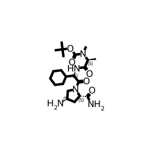 C[C@@H](C(=O)N[C@H](C(=O)N1C[C@@H](N)C[C@H]1C(N)=O)C1CCCCC1)N(C)C(=O)OC(C)(C)C